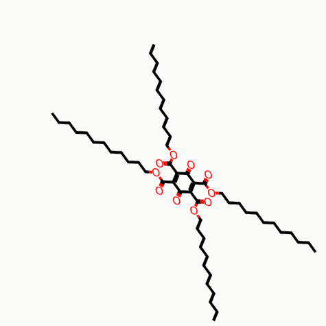 CCCCCCCCCCCCOC(=O)C1=C(C(=O)OCCCCCCCCCCCC)C(=O)C(C(=O)OCCCCCCCCCCCC)=C(C(=O)OCCCCCCCCCCCC)C1=O